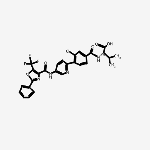 CC(C)[C@H](NC(=O)c1ccc(-c2ccc(NC(=O)c3nc(-c4ccccc4)oc3C(F)(F)F)cn2)c(Cl)c1)C(=O)O